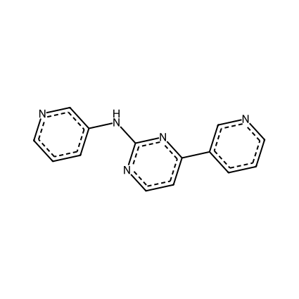 c1cncc(Nc2nccc(-c3cccnc3)n2)c1